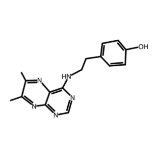 Cc1nc2ncnc(NCCc3ccc(O)cc3)c2nc1C